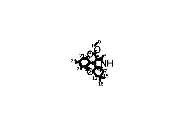 CCOC(=O)C1=C(C)NC2=C(C(=O)CC(C)(C)C2)C1c1ccc(C)cc1C